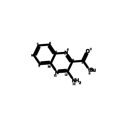 CC(C)(C)C(=O)c1nc2ccccc2nc1N